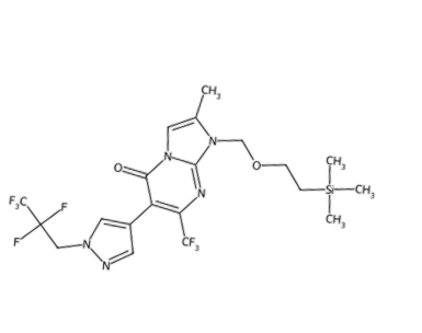 Cc1cn2c(=O)c(-c3cnn(CC(F)(F)C(F)(F)F)c3)c(C(F)(F)F)nc2n1COCC[Si](C)(C)C